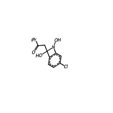 CC(C)C(=O)CC1(O)c2ccc(Cl)cc2N1O